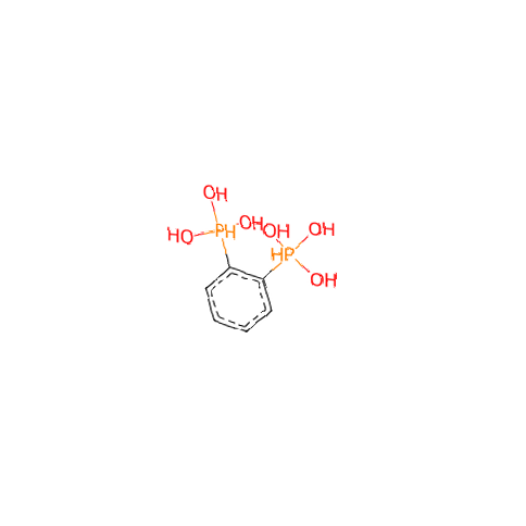 O[PH](O)(O)c1ccccc1[PH](O)(O)O